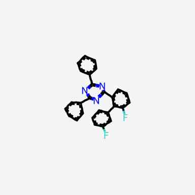 Fc1cccc(-c2c(F)cccc2-c2nc(-c3ccccc3)nc(-c3ccccc3)n2)c1